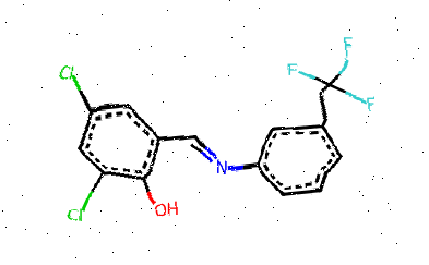 Oc1c(Cl)cc(Cl)cc1/C=N/c1cccc(C(F)(F)F)c1